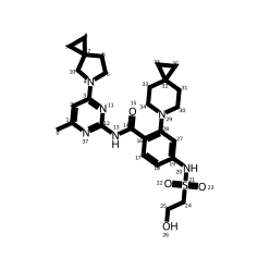 Cc1cc(N2CCC3(CC3)C2)nc(NC(=O)c2ccc(NS(=O)(=O)CCO)cc2N2CCC3(CC2)CC3)n1